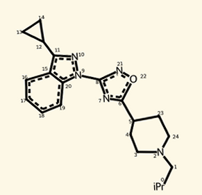 CC(C)CN1CCC(c2nc(-n3nc(C4CC4)c4ccccc43)no2)CC1